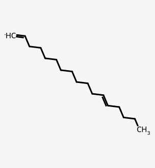 [CH]=CCCCCCCCCC/C=C/CCCC